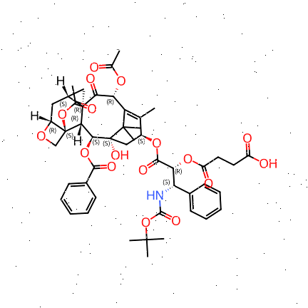 CC(=O)O[C@H]1C(=O)[C@]23C[C@H]2C[C@H]2OC[C@@]2(OC(C)=O)[C@H]3[C@H](OC(=O)c2ccccc2)[C@]2(O)C[C@H](OC(=O)[C@H](OC(=O)CCC(=O)O)[C@@H](NC(=O)OC(C)(C)C)c3ccccc3)C(C)=C1C2(C)C